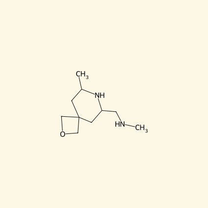 CNCC1CC2(COC2)CC(C)N1